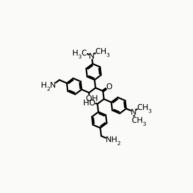 CN(C)c1ccc(C(C(=O)C(c2ccc(N(C)C)cc2)C(O)c2ccc(CN)cc2)C(O)c2ccc(CN)cc2)cc1